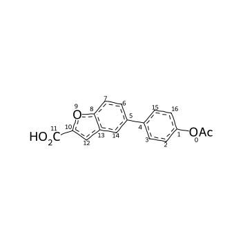 CC(=O)Oc1ccc(-c2ccc3oc(C(=O)O)cc3c2)cc1